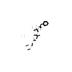 O=C(Cc1ccccc1)N[C@@H]1C(=O)N2C(C(=O)O)=C(C=NOCCN3CCOCC3)CS[C@@H]12